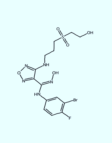 O=S(=O)(CCO)CCCNc1nonc1C(=NO)Nc1ccc(F)c(Br)c1